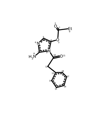 CCC(=O)Oc1cnc(N)n1C(=O)Cc1ccccc1